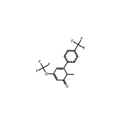 CC1C(=O)C=C(OC(F)(F)F)C=C1c1ccc(C(F)(F)F)cc1